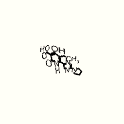 CCc1c(-c2cnc(N3CCCC3)cn2)[nH]c(=O)c(C(=O)O)c1O